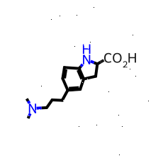 CN(C)CCCc1ccc2c(c1)CC(C(=O)O)N2